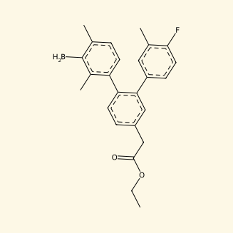 Bc1c(C)ccc(-c2ccc(CC(=O)OCC)cc2-c2ccc(F)c(C)c2)c1C